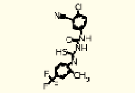 Cc1cc(C(F)(F)F)ccc1/N=C(\S)NC(=O)Nc1ccc(Cl)c(C#N)c1